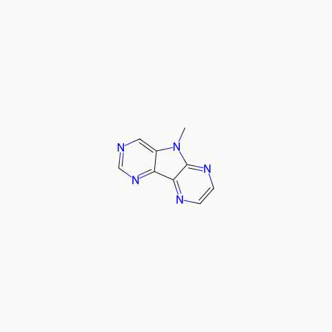 Cn1c2cncnc2c2nccnc21